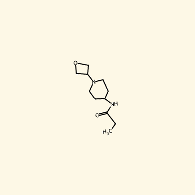 CCC(=O)NC1CCN(C2COC2)CC1